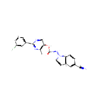 Cc1nc(-c2cccc(F)c2)ncc1OC(=O)Nn1ccc2cc(C#N)ccc21